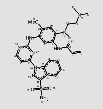 C=CC(=O)Nc1cc(Nc2nccc(-n3nc(S(N)(=O)=O)c4ccccc43)n2)c(OC)cc1N(C)CCN(C)C